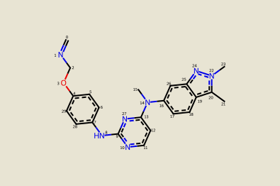 C=NCOc1ccc(Nc2nccc(N(C)c3ccc4c(C)n(C)nc4c3)n2)cc1